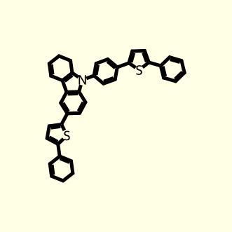 C1=CC(c2ccc(-c3ccc4c(c3)c3c(n4-c4ccc(-c5ccc(-c6ccccc6)s5)cc4)CCC=C3)s2)=CCC1